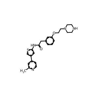 Cc1cc(-c2csc(NC(=O)Cc3cccc(OCCN4CCNCC4)c3)c2)ccn1